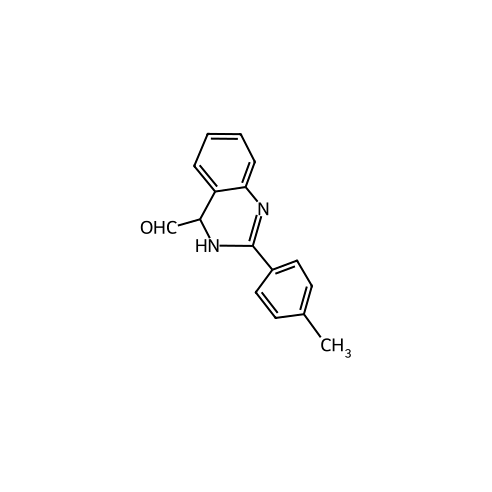 Cc1ccc(C2=Nc3ccccc3C(C=O)N2)cc1